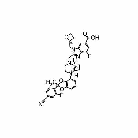 C[C@]1(c2ccc(C#N)cc2F)Oc2cccc(N3CCN(Cc4nc5c(F)cc(C(=O)O)cc5n4C[C@@H]4CCO4)[C@@H]4CC[C@H]43)c2O1